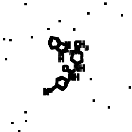 CN1CCC(NC(=O)Nc2ccc(C#N)cc2)C[C@@H]1c1nc2ccccc2[nH]1